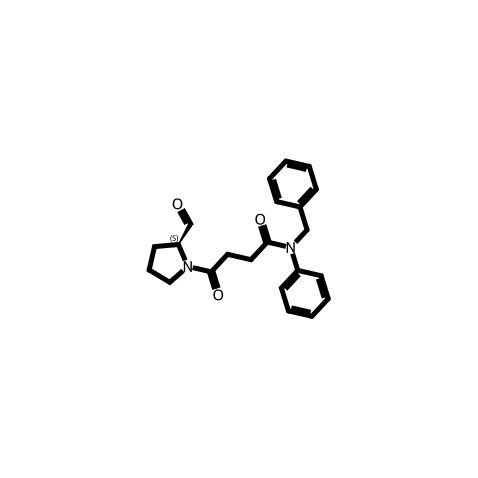 O=C[C@@H]1CCCN1C(=O)CCC(=O)N(Cc1ccccc1)c1ccccc1